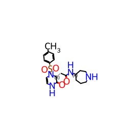 Cc1ccc(S(=O)(=O)N2C=CNC(=O)[C@H]2CC(=O)N[C@@H]2CCCNCC2)cc1